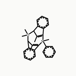 CC1=C2c3ccccc3[CH]1[Ti]([CH3])([CH3])[CH]1C(C)=C(c3ccccc31)[Si]2(C)c1ccccc1